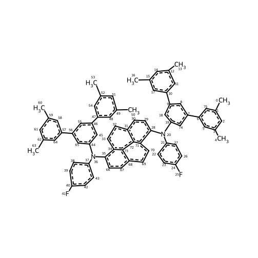 Cc1cc(C)cc(-c2cc(-c3cc(C)cc(C)c3)cc(N(c3ccc(F)cc3)c3ccc4ccc5c(N(c6ccc(F)cc6)c6cc(-c7cc(C)cc(C)c7)cc(-c7cc(C)cc(C)c7)c6)ccc6ccc3c4c65)c2)c1